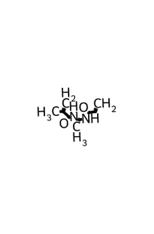 C=CC(=O)N[C](C)NC(=O)C(=C)C